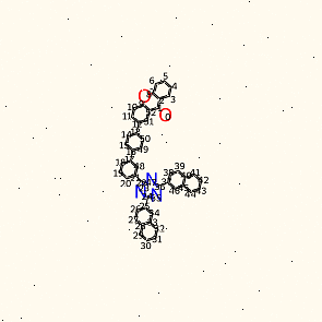 O=c1c2ccccc2oc2ccc(-c3ccc(-c4cccc(-c5nc(-c6ccc7ccccc7c6)nc(-c6ccc7ccccc7c6)n5)c4)cc3)cc12